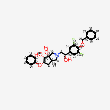 O[C@H](CN1C[C@H]2C[C@H](Oc3ccccc3)[C@H](O)[C@@]2(O)C1)c1cc(F)c(OCc2ccccc2)c(F)c1